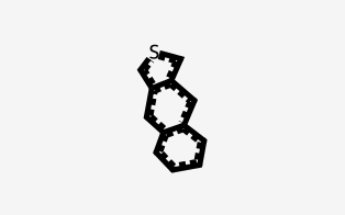 c1ccc2cc3cscc3cc2c1